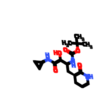 CC(C)(C)OC(=O)NC(C[C@@H]1CCCNC1=O)C(O)C(=O)NC1CC1